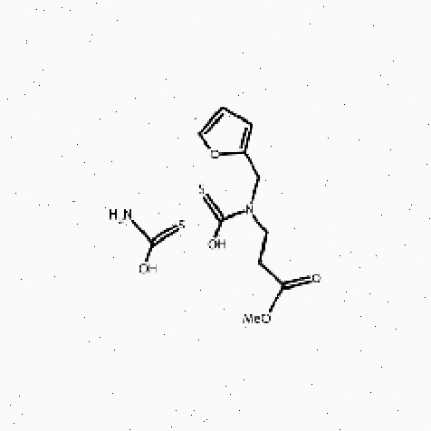 COC(=O)CCN(Cc1ccco1)C(O)=S.NC(O)=S